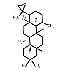 C[C@@H]1CC[C@H](C2(C)CO2)[C@@]2(C)CC[C@]3(N)[C@H]4CC[C@@](C)(O)C[C@H]4CC[C@H]3[C@H]12